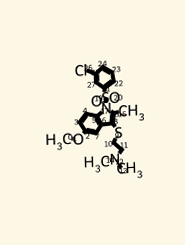 COc1ccc2c(c1)c(SCCN(C)C)c(C)n2S(=O)(=O)c1cccc(Cl)c1